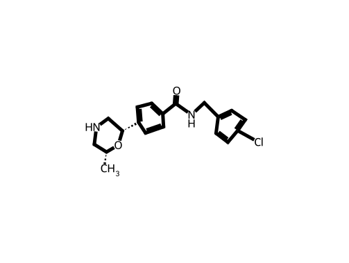 C[C@@H]1CNC[C@H](c2ccc(C(=O)NCc3ccc(Cl)cc3)cc2)O1